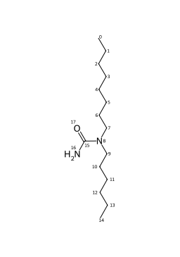 CCCCCCCCN(CCCCCC)C(N)=O